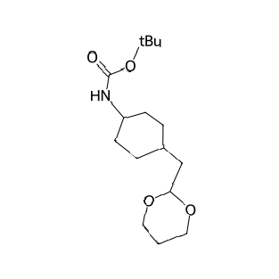 CC(C)(C)OC(=O)NC1CCC(CC2OCCCO2)CC1